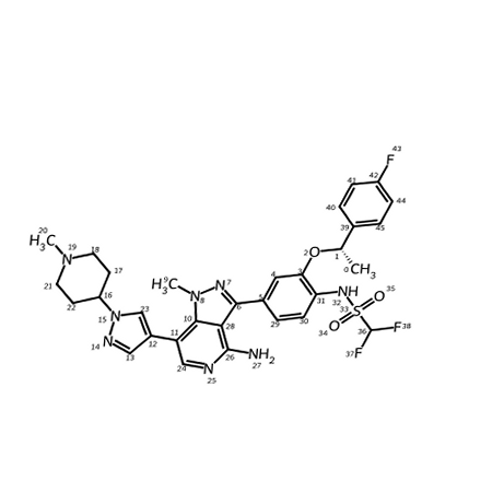 C[C@H](Oc1cc(-c2nn(C)c3c(-c4cnn(C5CCN(C)CC5)c4)cnc(N)c23)ccc1NS(=O)(=O)C(F)F)c1ccc(F)cc1